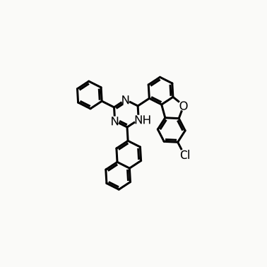 Clc1ccc2c(c1)oc1cccc(C3N=C(c4ccccc4)N=C(c4ccc5ccccc5c4)N3)c12